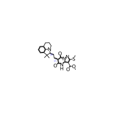 COC(=O)c1c(SC)nn2c(=O)/c(=C\C=C3\N4CCCc5cccc(c54)C3(C)C)c(=O)[nH]c12